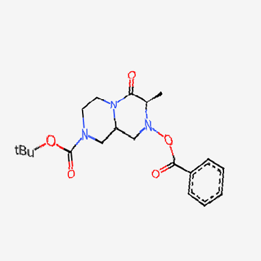 C[C@@H]1C(=O)N2CCN(C(=O)OC(C)(C)C)CC2CN1OC(=O)c1ccccc1